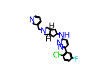 Fc1ccc(Cl)c(-c2ccc(NC3C[C@@H]4CN(Cc5cccnc5)C[C@@H]4C3)nn2)c1